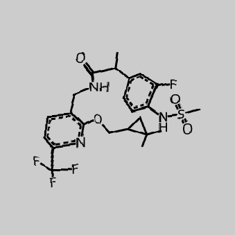 CC(C(=O)NCc1ccc(C(F)(F)F)nc1OCC1CC1(C)C)c1ccc(NS(C)(=O)=O)c(F)c1